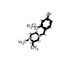 COc1cc(Br)ccc1CN1CCN(C)C(C)C1